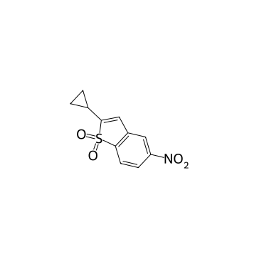 O=[N+]([O-])c1ccc2c(c1)C=C(C1CC1)S2(=O)=O